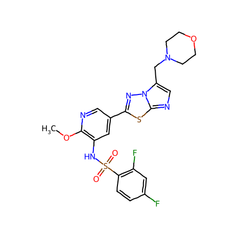 COc1ncc(-c2nn3c(CN4CCOCC4)cnc3s2)cc1NS(=O)(=O)c1ccc(F)cc1F